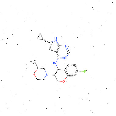 CC1CN(C2COc3cc(F)ccc3C2Nc2ncnc3[nH]c(C4CC4)cc23)CCO1